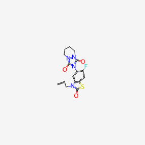 C=CCn1c(=O)sc2cc(F)c(-n3c(=O)n4n(c3=O)CCCC4)cc21